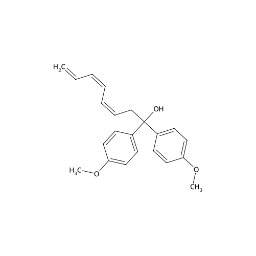 C=C/C=C\C=C/CC(O)(c1ccc(OC)cc1)c1ccc(OC)cc1